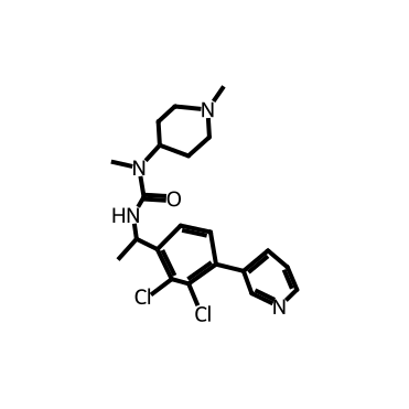 CC(NC(=O)N(C)C1CCN(C)CC1)c1ccc(-c2cccnc2)c(Cl)c1Cl